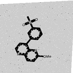 COc1ccc2nccc(-c3cccc(S(C)(=O)=O)c3)c2n1